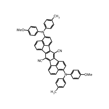 COc1ccc(N(c2ccc(C)cc2)c2ccc3c4c(C#N)c5c6ccc(N(c7ccc(C)cc7)c7ccc(OC)cc7)c7cccc(c5c(C#N)c4c4cccc2c43)c76)cc1